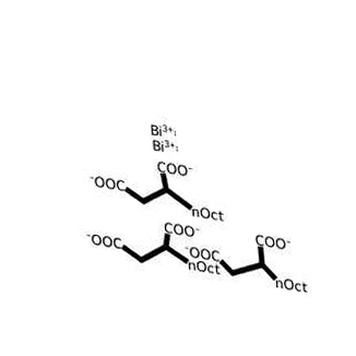 CCCCCCCCC(CC(=O)[O-])C(=O)[O-].CCCCCCCCC(CC(=O)[O-])C(=O)[O-].CCCCCCCCC(CC(=O)[O-])C(=O)[O-].[Bi+3].[Bi+3]